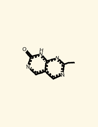 Cc1ncc2cnc(=O)[nH]c2n1